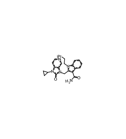 CC(C)CCn1c(Cn2c(=O)n(C3CC3)c3ccncc32)c(C(N)=O)c2ccccc21